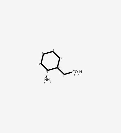 N[C@@H]1CCCCC1CC(=O)O